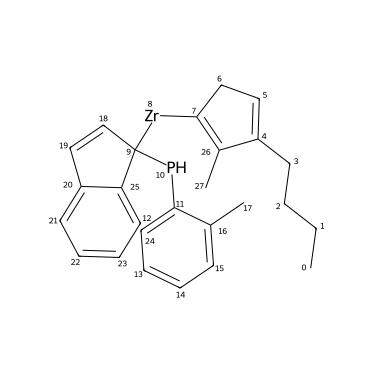 CCCCC1=CC[C]([Zr][C]2(Pc3ccccc3C)C=Cc3ccccc32)=C1C